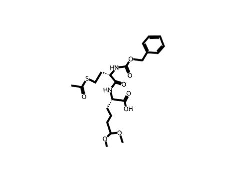 COC(CCC[C@H](NC(=O)[C@H](CCSC(C)=O)NC(=O)OCc1ccccc1)C(=O)O)OC